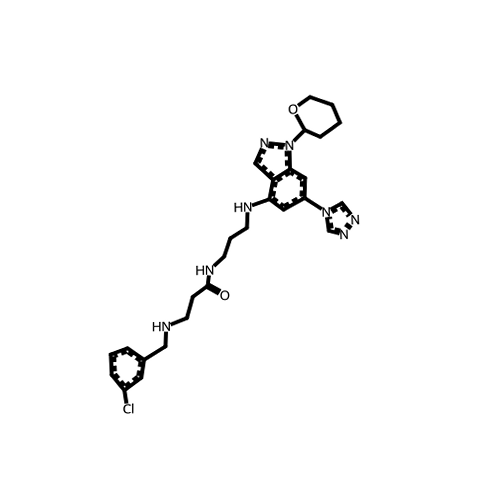 O=C(CCNCc1cccc(Cl)c1)NCCCNc1cc(-n2cnnc2)cc2c1cnn2C1CCCCO1